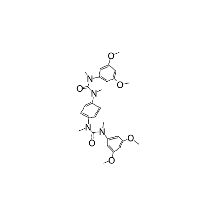 COc1cc(OC)cc(N(C)C(=O)N(C)c2ccc(N(C)C(=O)N(C)c3cc(OC)cc(OC)c3)cc2)c1